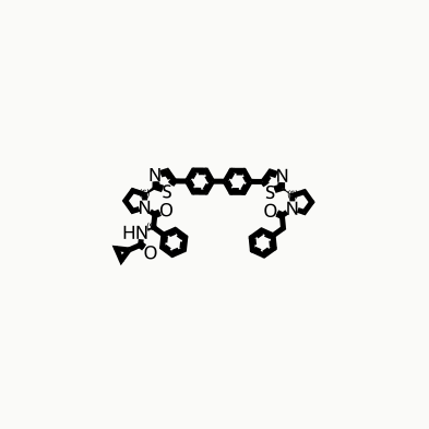 O=C(N[C@H](C(=O)N1CCC[C@H]1c1ncc(-c2ccc(-c3ccc(-c4cnc([C@@H]5CCCN5C(=O)Cc5ccccc5)s4)cc3)cc2)s1)c1ccccc1)C1CC1